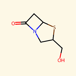 O=C1CC2SC(CO)CN12